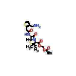 CC(C)(C)C(=O)OCOC(=O)[C@@H]1N2C(=O)[C@@H](NC(=O)Cc3sccc3CN)[C@H]2SC1(C)C